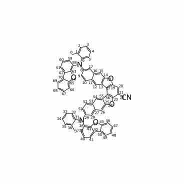 Cc1ccccc1N(c1ccc2cc3c(cc2c1)oc1cc(C#N)c2oc4cc5cc(N(c6ccccc6C)c6cccc7c6oc6ccccc67)ccc5cc4c2c13)c1cccc2c1oc1ccccc12